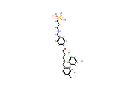 Cc1ccc(CC(CCCOc2ccc(CNCCCP(=O)(O)O)cc2)c2ccc(F)cc2F)cc1C